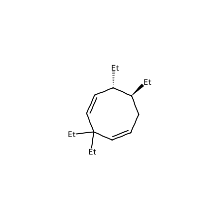 CC[C@H]1C/C=C\C(CC)(CC)/C=C\[C@@H]1CC